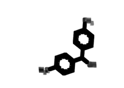 Cc1ccc(C(O)c2ccc(C)cc2)cc1